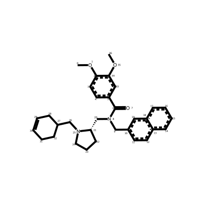 COc1ccc(C(=O)N(Cc2ccc3ccccc3c2)C[C@@H]2CCCN2CC2CC=CCC2)cc1OC